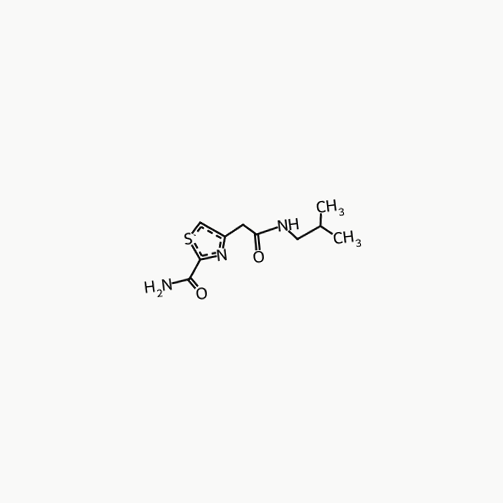 CC(C)CNC(=O)Cc1csc(C(N)=O)n1